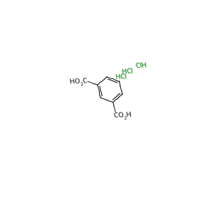 Cl.Cl.Cl.O=C(O)c1cccc(C(=O)O)c1